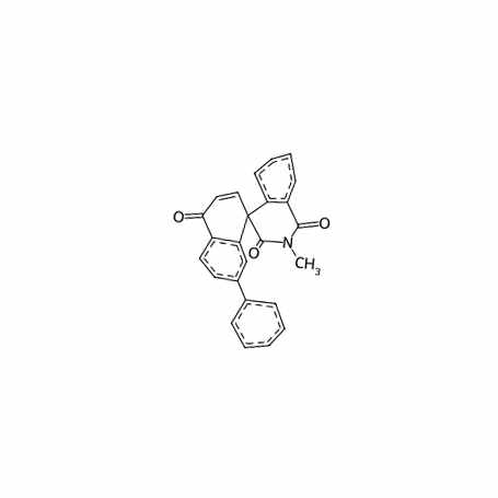 CN1C(=O)c2ccccc2C2(C=CC(=O)c3ccc(-c4ccccc4)cc32)C1=O